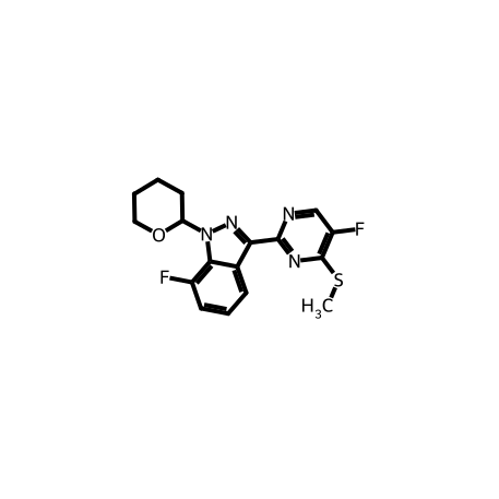 CSc1nc(-c2nn(C3CCCCO3)c3c(F)cccc23)ncc1F